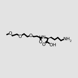 COCCOCCOCCC(=O)N[C@@H](CCCCN)C(=O)O